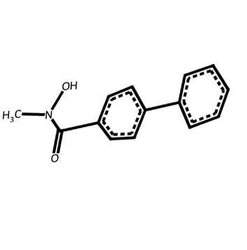 CN(O)C(=O)c1ccc(-c2ccccc2)cc1